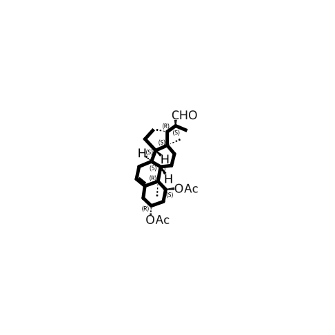 CC(=O)O[C@@H]1CC2=CC[C@H]3[C@@H]4CC[C@H]([C@H](C)C=O)[C@@]4(C)CC[C@@H]3[C@@]2(C)[C@@H](OC(C)=O)C1